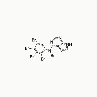 Brc1cc(N(Br)c2ncnc3[nH]cnc23)c(Br)c(Br)c1Br